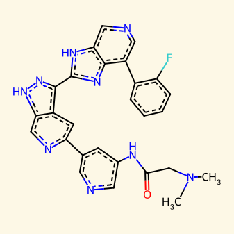 CN(C)CC(=O)Nc1cncc(-c2cc3c(-c4nc5c(-c6ccccc6F)cncc5[nH]4)n[nH]c3cn2)c1